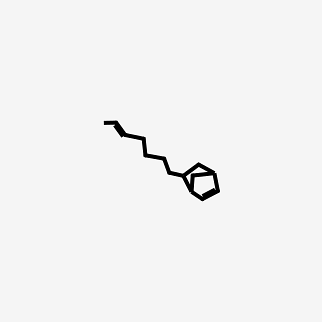 C/C=C/CCCCC1CC2C=CC1C2